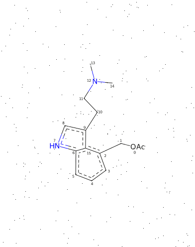 CC(=O)OCc1cccc2[nH]cc(CCN(C)C)c12